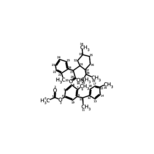 CC(=O)Oc1ccc(C)c(C(C)c2ccc(C)cc2)c1.Cc1ccccc1C(C(=O)O)C1CC(C)CCC1C(C)C